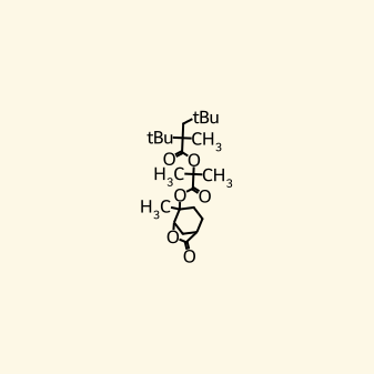 CC(C)(C)CC(C)(C(=O)OC(C)(C)C(=O)OC1(C)CCC2CC1OC2=O)C(C)(C)C